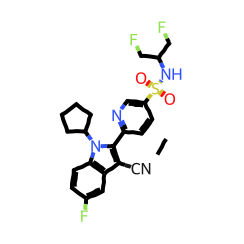 CC.N#Cc1c(-c2ccc(S(=O)(=O)NC(CF)CF)cn2)n(C2CCCC2)c2ccc(F)cc12